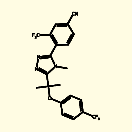 Cn1c(-c2ccc(C#N)cc2C(F)(F)F)nnc1C(C)(C)Oc1ccc(C(F)(F)F)cc1